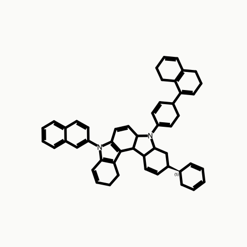 C1=CC[C@@H](C2C=CC3C4c5c6c(n(-c7ccc8ccccc8c7)c5C=CC4N(C4=CCC(C5=CCCC7=C5CCC=C7)C=C4)C3C2)C=CCC6)C=C1